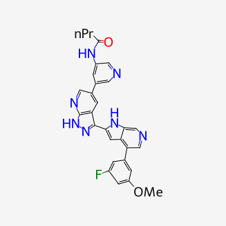 CCCC(=O)Nc1cncc(-c2cnc3[nH]nc(-c4cc5c(-c6cc(F)cc(OC)c6)cncc5[nH]4)c3c2)c1